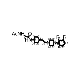 CC(=O)NCC(=O)NC1CCC(CCN2CCN(c3cccc(F)c3F)CC2)CC1